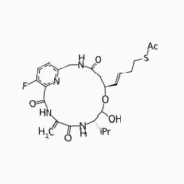 C=C1NC(=O)c2nc(ccc2F)CNC(=O)C[C@@H](/C=C/CCSC(C)=O)OC(O)[C@H](C(C)C)NC1=O